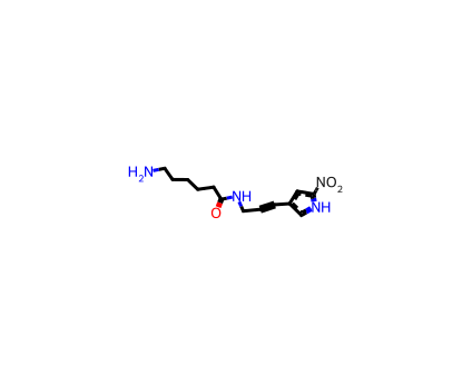 NCCCCCC(=O)NCC#Cc1c[nH]c([N+](=O)[O-])c1